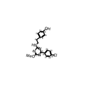 COc1nc(NCCc2ccc(O)cc2)nc(-c2ccc(Cl)cc2)n1